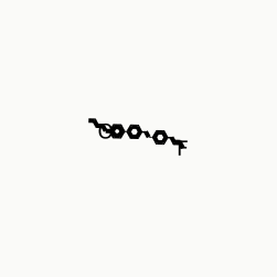 CCCCOc1ccc([C@H]2CC[C@H](CC[C@H]3CC[C@H](CC=CF)CC3)CC2)cc1